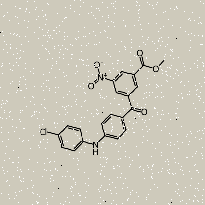 COC(=O)c1cc(C(=O)c2ccc(Nc3ccc(Cl)cc3)cc2)cc([N+](=O)[O-])c1